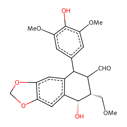 COC[C@H]1C(C=O)C(c2cc(OC)c(O)c(OC)c2)c2cc3c(cc2[C@H]1O)OCO3